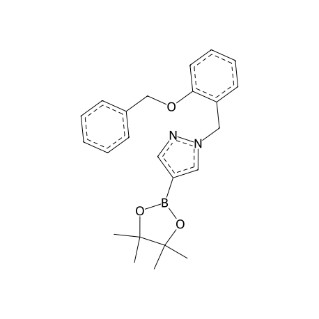 CC1(C)OB(c2cnn(Cc3ccccc3OCc3ccccc3)c2)OC1(C)C